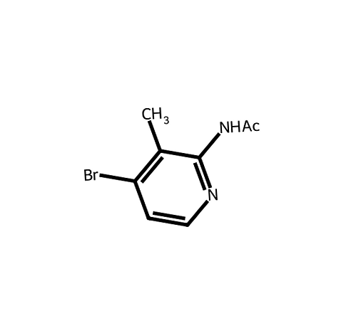 CC(=O)Nc1nccc(Br)c1C